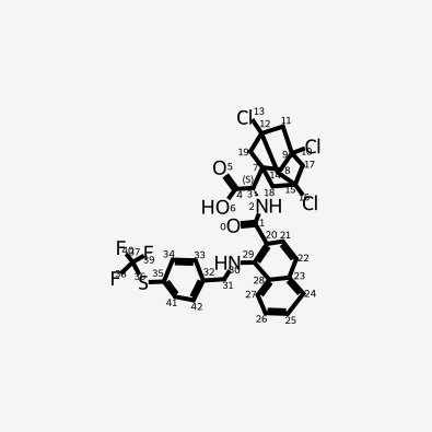 O=C(N[C@H](C(=O)O)C12CC3(Cl)CC(Cl)(CC(Cl)(C3)C1)C2)c1ccc2ccccc2c1NCc1ccc(SC(F)(F)F)cc1